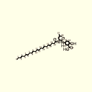 CCC=CCC=CCC=CCC=CCC=CCC=CCCC(=O)NC(CC(C)C)C(=O)Nc1ccc(O)c(C(=O)O)c1